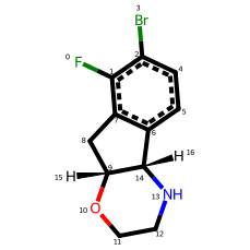 Fc1c(Br)ccc2c1C[C@H]1OCCN[C@@H]21